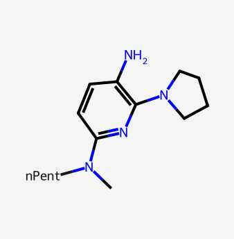 CCCCCN(C)c1ccc(N)c(N2CCCC2)n1